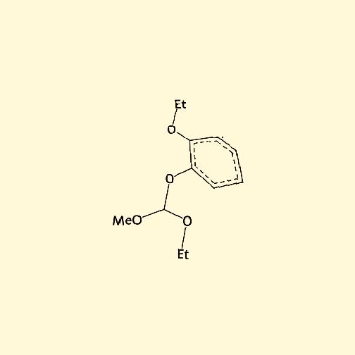 CCOc1[c]cccc1OC(OC)OCC